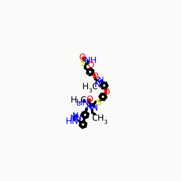 CCCc1nc(CSc2ccc(Oc3ccc4nc(COc5ccc(CC6SC(=O)NC6=O)cc5)n(C)c4c3)cc2)c(C(=O)NC)n1Cc1ccc(-c2ccccc2-c2nnn[nH]2)cc1